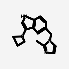 Cc1nccn1Cc1ccc2[nH]cc(N3CCC3)c2c1